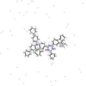 CC1(C)c2ccccc2-c2ccc(C3N=C(c4ccc(N(c5ccc(-c6ccccc6)cc5)c5ccc(C6C=CC=CC6)cc5)c5c4oc4ccccc45)NC(c4ccccc4)N3)cc21